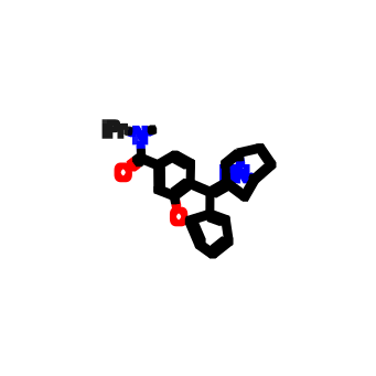 CC(C)N(C)C(=O)c1ccc2c(c1)Oc1ccccc1C2=C1CC2CCC(C1)N2